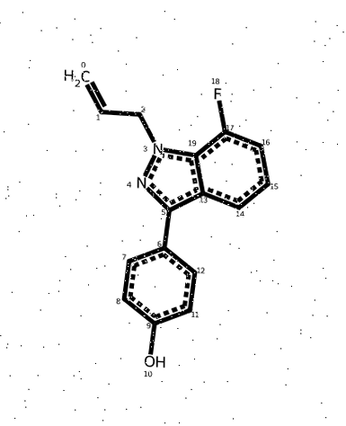 C=CCn1nc(-c2ccc(O)cc2)c2cccc(F)c21